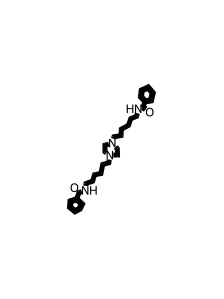 O=C(NCCCCCCN1CCN(CCCCCCNC(=O)c2ccccc2)CC1)c1ccccc1